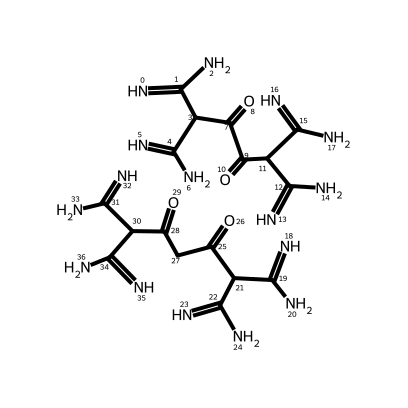 N=C(N)C(C(=N)N)C(=O)C(=O)C(C(=N)N)C(=N)N.N=C(N)C(C(=N)N)C(=O)CC(=O)C(C(=N)N)C(=N)N